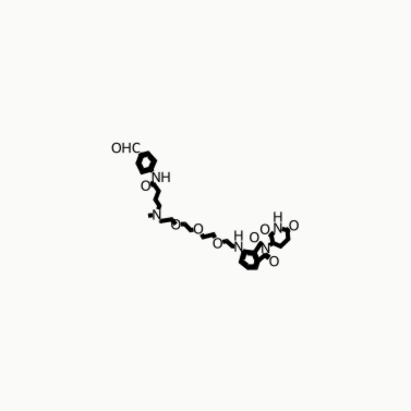 CN(CCCC(=O)Nc1ccc(C=O)cc1)CCOCCOCCOCCNc1cccc2c1C(=O)N(C1CCC(=O)NC1=O)C2=O